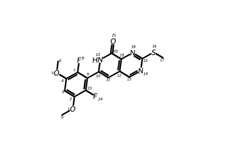 COc1cc(OC)c(F)c(-c2cc3cnc(SC)nc3c(=O)[nH]2)c1F